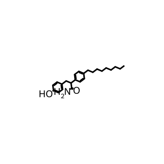 CCCCCCCCCc1ccc(C(Cc2ccc(O)cc2)C(N)=O)cc1